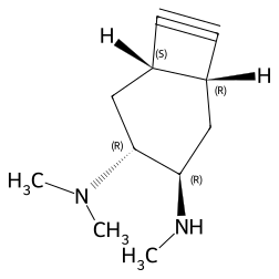 CN[C@@H]1C[C@H]2C#C[C@H]2C[C@H]1N(C)C